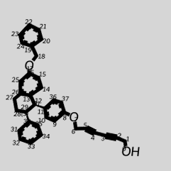 OCC#CC#CCOc1ccc([C@@H]2c3ccc(OCc4ccccc4)cc3CC[C@@H]2c2ccccc2)cc1